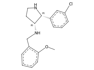 COc1ccccc1CN[C@@H]1CCN[C@@H]1c1cccc(Cl)c1